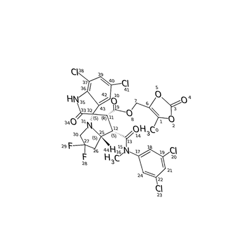 Cc1oc(=O)oc1COC(=O)[C@@H]1[C@H](C(=O)N(C)c2cc(Cl)cc(Cl)c2)[C@@H]2CC(F)(F)CN2[C@@]12C(=O)Nc1c(Cl)cc(Cl)cc12